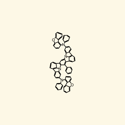 c1ccc(-c2c3c4cccc5c6ccc(N(c7ccccc7)c7cccc8oc9ccccc9c78)cc6n(c3cc3c6cccc7c8ccc(N(c9ccccc9)c9cccc%10oc%11ccccc%11c9%10)cc8n(c23)c76)c54)cc1